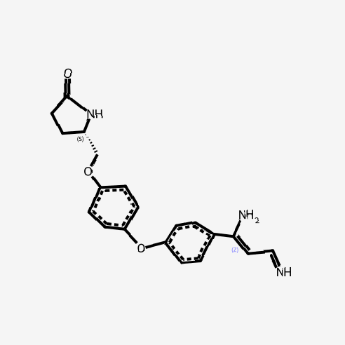 N=C/C=C(\N)c1ccc(Oc2ccc(OC[C@@H]3CCC(=O)N3)cc2)cc1